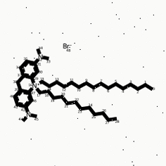 CCCCCCCCCCCCCCCC[N+]1(CCCCCCCCCCCC)c2cc(N(C)C)ccc2Cc2ccc(N(C)C)cc21.[Br-]